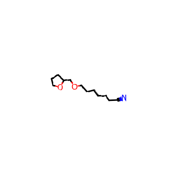 N#CCCCCCCOCC1CCCO1